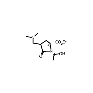 CCOC(=O)[C@H]1CC(CN(C)C)C(=O)N1B(C)O